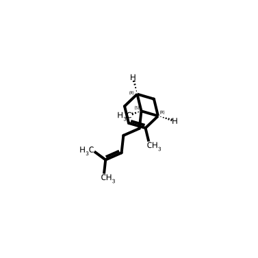 CC(C)=CCC[C@@]1(C)[C@H]2CC=C(C)[C@@H]1C2